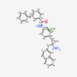 Cl.NC1(Cc2ccc3ccccc3c2)CC1c1ccc(NC(=O)c2cccc(-c3ccccc3)c2)cc1